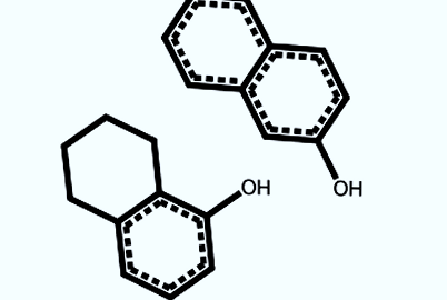 Oc1ccc2ccccc2c1.Oc1cccc2c1CCCC2